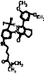 COc1cc(OC)cc(-c2nn(-c3cc(NCCCC(=O)N(C)C)ccc3C(F)(F)F)c(=O)c3c2CCC3)c1